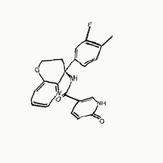 Cc1ccc([C@@]2(NC(=O)c3ccc(=O)[nH]c3)CCOc3cccnc32)cc1F